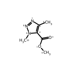 COC(=O)c1c(C)nnn1C